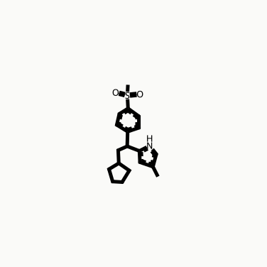 Cc1c[nH]c(C(CC2CCCC2)c2ccc(S(C)(=O)=O)cc2)c1